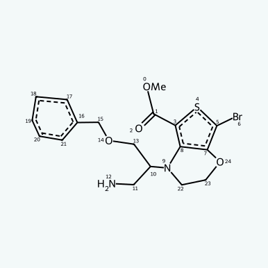 COC(=O)c1sc(Br)c2c1N(C(CN)COCc1ccccc1)CCO2